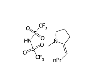 CCCC=C1CCCN1C.O=S(=O)(NS(=O)(=O)C(F)(F)F)C(F)(F)F